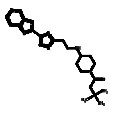 CC(C)(C)OC(=O)N1CCC(NCCc2noc(-c3cc4cnccc4o3)n2)CC1